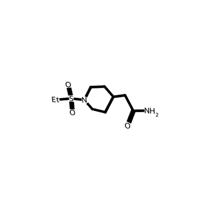 CCS(=O)(=O)N1CCC(CC(N)=O)CC1